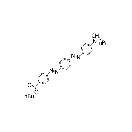 CCCCOC(=O)c1ccc(N=Nc2ccc(N=Nc3ccc(N(C)CCC)cc3)cc2)cc1